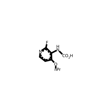 CCCOc1ccnc(F)c1NC(=O)O